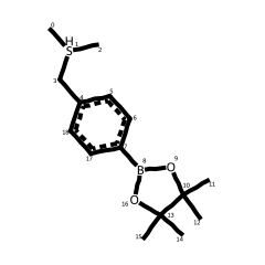 C[SH](C)Cc1ccc(B2OC(C)(C)C(C)(C)O2)cc1